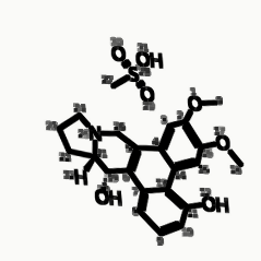 COc1cc2c3c(c4cccc(O)c4c2cc1OC)[C@H](O)[C@@H]1CCCN1C3.CS(=O)(=O)O